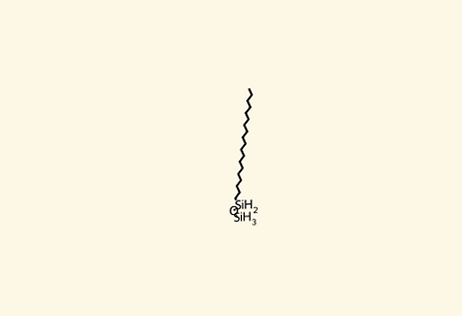 CCCCCCCCCCCCCCCCCCC[SiH2]O[SiH3]